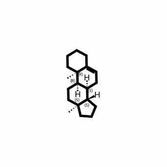 C[C@@]12CCC[C@H]1[C@@H]1CC=C3CCCC[C@]3(C)[C@@H]1CC2